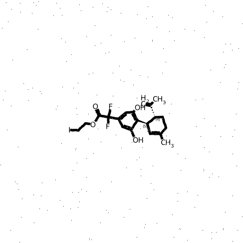 C=C(C)[C@@H]1CCC(C)=C[C@H]1c1c(O)cc(C(F)(F)C(=O)OCCI)cc1O